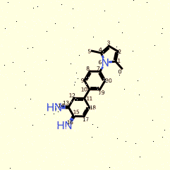 Cc1ccc(C)n1-c1ccc(C2=CC(=N)C(=N)C=C2)cc1